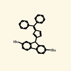 CC(C)(C)c1ccc2c(c1)C(C1=[C]C(=C(c3ccccc3)c3ccccc3)C=C1)c1cc(C(C)(C)C)ccc1-2